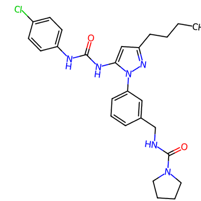 CCCCc1cc(NC(=O)Nc2ccc(Cl)cc2)n(-c2cccc(CNC(=O)N3CCCC3)c2)n1